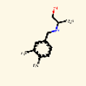 Cc1cc(CNC(CO)C(=O)O)ccc1C(F)(F)F